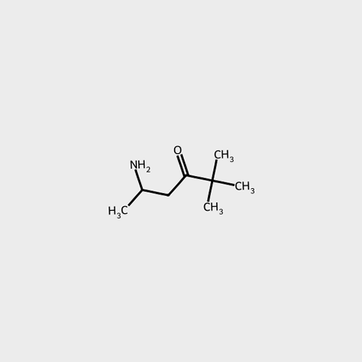 CC(N)CC(=O)C(C)(C)C